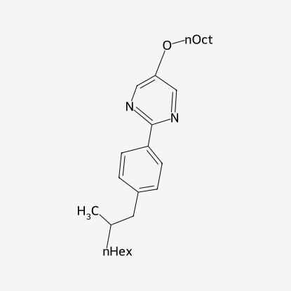 CCCCCCCCOc1cnc(-c2ccc(CC(C)CCCCCC)cc2)nc1